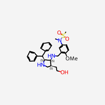 COc1ccc(N(C)S(C)(=O)=O)cc1CN[C@H]1[C@@H](CCO)CN[C@H]1C(c1ccccc1)c1ccccc1